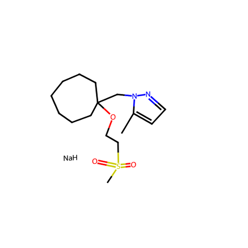 Cc1ccnn1CC1(OCCS(C)(=O)=O)CCCCCCC1.[NaH]